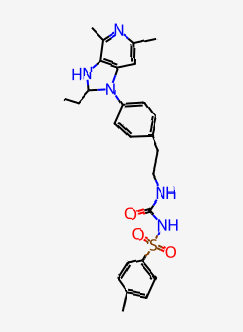 CCC1Nc2c(cc(C)nc2C)N1c1ccc(CCNC(=O)NS(=O)(=O)c2ccc(C)cc2)cc1